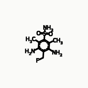 Cc1c(N)c(CF)c(N)c(C)c1S(N)(=O)=O